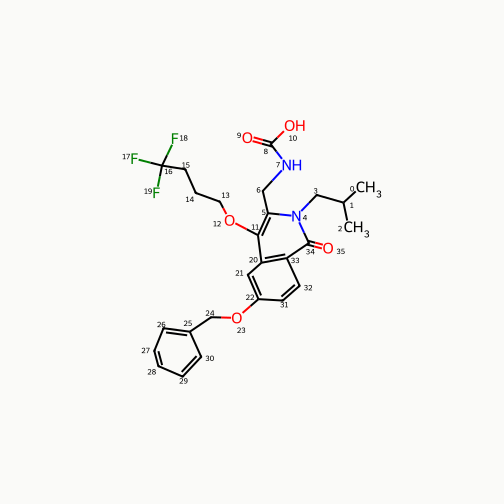 CC(C)Cn1c(CNC(=O)O)c(OCCCC(F)(F)F)c2cc(OCc3ccccc3)ccc2c1=O